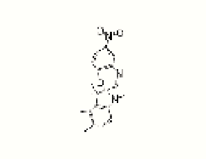 Cc1ccc2c(c1C)C(C)(C)C1(C=Nc3cc([N+](=O)[O-])ccc3O1)N2C